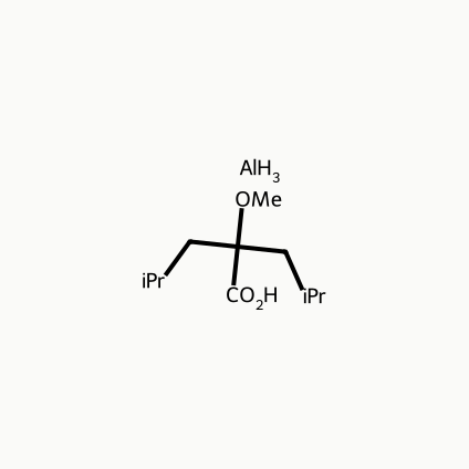 COC(CC(C)C)(CC(C)C)C(=O)O.[AlH3]